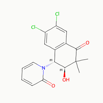 CC1(C)C(=O)c2cc(Cl)c(Cl)cc2[C@@H](n2ccccc2=O)[C@@H]1O